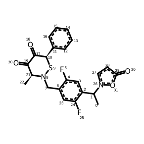 CC(c1cc(F)c(CN2S[C@H](c3ccccc3)C(=O)C(=O)[C@@H]2C)cc1F)n1ccc(=O)o1